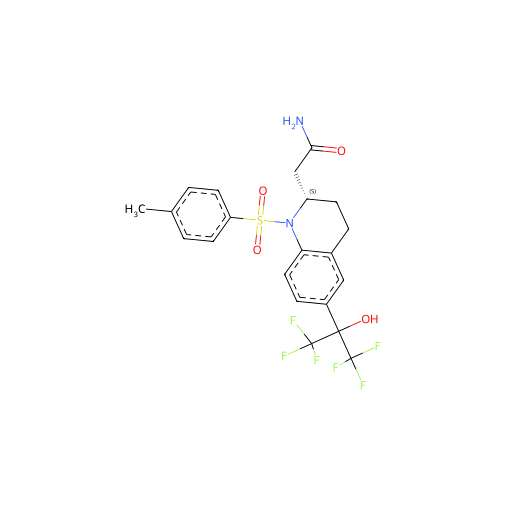 Cc1ccc(S(=O)(=O)N2c3ccc(C(O)(C(F)(F)F)C(F)(F)F)cc3CC[C@H]2CC(N)=O)cc1